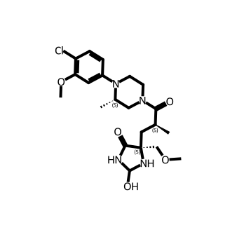 COC[C@]1(C[C@H](C)C(=O)N2CCN(c3ccc(Cl)c(OC)c3)[C@@H](C)C2)NC(O)NC1=O